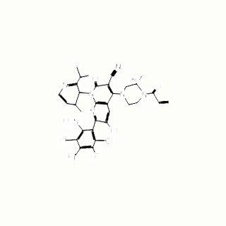 C=CC(=O)N1CCN(c2c(C#N)c(=O)n(C3C(C(C)C)=NC=CC3C)c3nc(-c4c(N)c(Cl)c(Cl)c(F)c4Cl)c(Cl)cc23)C[C@H]1C